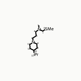 CSCN(C)CCCN1CCC(C(C)C)CC1